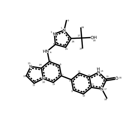 Cn1nc(Nc2cc(-c3ccc4c(c3)[nH]c(=O)n4C)cn3ccnc23)cc1C(C)(C)O